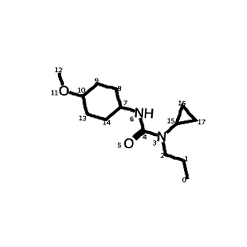 CCCN(C(=O)NC1CCC(OC)CC1)C1CC1